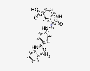 Nc1ccccc1NC(=O)c1ccc(N/C=C2/C(=O)Nc3ccc(C(=O)O)cc32)cc1